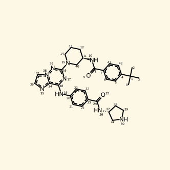 CC(C)(C)c1ccc(C(=O)N[C@@H]2CCCN(c3nc(Nc4ccc(C(=O)N[C@@H]5CCNC5)cc4)c4nccn4n3)C2)cc1